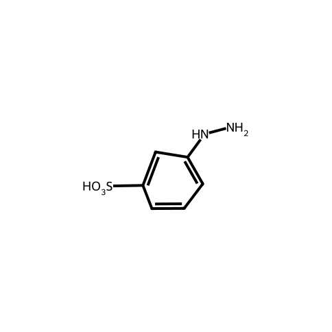 NNc1cccc(S(=O)(=O)O)c1